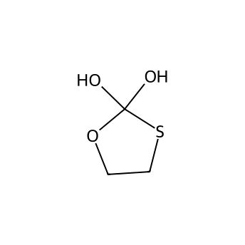 OC1(O)OCCS1